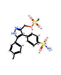 Cc1ccc(-c2[nH]nc(COS(C)(=O)=O)c2-c2ccc(S(N)(=O)=O)cc2)cc1